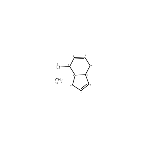 CCC1C=CCC2C=CCC12.[CH2]